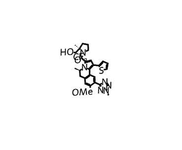 COc1cc2c(cc1-c1nnn(C)n1)-c1c(-c3cccs3)cc(C(=O)N3CCC[C@]3(C)[C@H](O)C(F)(F)F)n1[C@H](C)C2